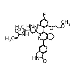 C=CC(=O)N[C@H](C)c1cc(-c2nc(-c3ccc4c(c3)CNC4=O)c3c(c2-c2c(F)cc(F)cc2OCCOC)CCC3)n[nH]1